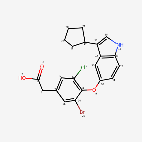 O=C(O)Cc1cc(Cl)c(Oc2ccc3[nH]cc(C4CCCC4)c3c2)c(Br)c1